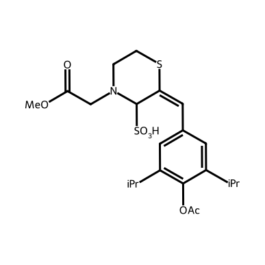 COC(=O)CN1CCSC(=Cc2cc(C(C)C)c(OC(C)=O)c(C(C)C)c2)C1S(=O)(=O)O